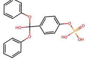 O=P(O)(O)Oc1ccc(C(O)(Oc2ccccc2)Oc2ccccc2)cc1